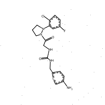 Nc1ccc(CNC(=O)NCC(=O)N2CCCN2c2cc(F)ccc2Cl)cc1